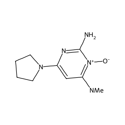 CNc1cc(N2CCCC2)nc(N)[n+]1[O-]